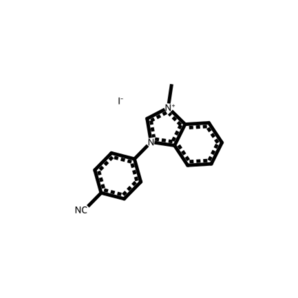 C[n+]1cn(-c2ccc(C#N)cc2)c2ccccc21.[I-]